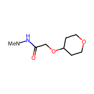 CNNC(=O)COC1CCOCC1